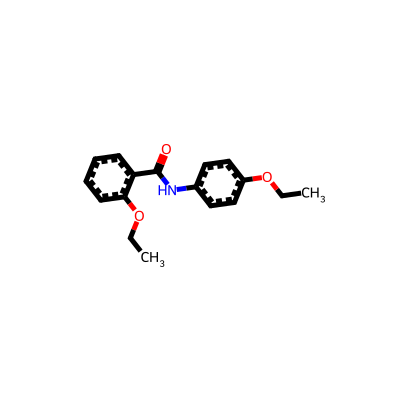 CCOc1ccc(NC(=O)c2ccccc2OCC)cc1